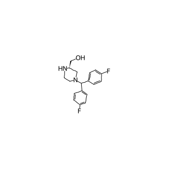 OC[C@H]1CN(C(c2ccc(F)cc2)c2ccc(F)cc2)CCN1